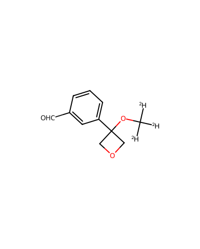 [2H]C([2H])([2H])OC1(c2cccc(C=O)c2)COC1